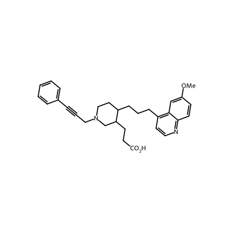 COc1ccc2nccc(CCCC3CCN(CC#Cc4ccccc4)CC3CCC(=O)O)c2c1